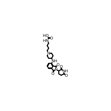 O=C(O)NCCCCN1CCC(Nc2cccc3c2C(=O)N(C2CCC(=O)NC2=O)C3=O)CC1